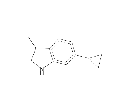 CC1CNc2cc(C3CC3)ccc21